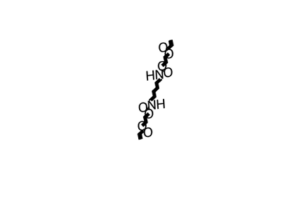 C=CC(=O)OCCOC(=O)NCCCCCCNC(=O)OCCOC(=O)C=C